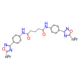 CCCc1nc(-c2ccc(NC(=O)CCCC(=O)Nc3ccc(-c4noc(CCC)n4)cc3)cc2)no1